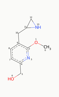 COc1nc(CO)ccc1CC1CN1